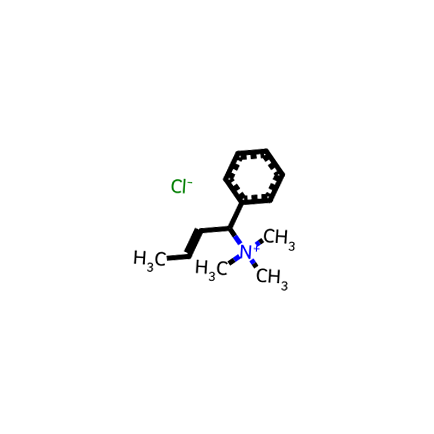 CC=CC(c1ccccc1)[N+](C)(C)C.[Cl-]